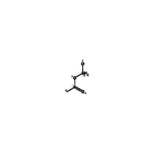 CC(=O)O[SiH2][O]